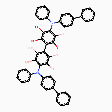 Bc1c(B)c(N(c2ccccc2)c2ccc(-c3ccccc3)cc2)c(B)c(B)c1-c1c(O)c(B)c(N(c2ccccc2)c2ccc(-c3ccccc3)cc2)c(O)c1O